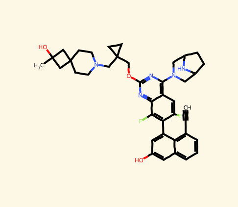 C#Cc1cccc2cc(O)cc(-c3c(F)cc4c(N5CC6CCC(C5)N6)nc(OCC5(CN6CCC7(CC6)CC(C)(O)C7)CC5)nc4c3F)c12